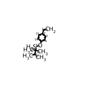 C=Cc1ccc(O[SiH2]C(C)(C)C(C)C)cc1